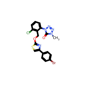 Cn1nnn(-c2cccc(Cl)c2COc2nc(-c3ccc(Br)cc3)cs2)c1=O